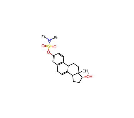 CCN(CC)S(=O)(=O)Oc1ccc2c(c1)CC=C1C2CC[C@@]2(C)C1CC[C@@H]2O